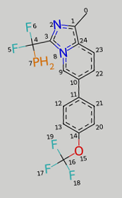 Cc1nc(C(F)(F)P)n2cc(-c3ccc(OC(F)(F)F)cc3)ccc12